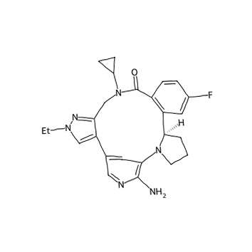 CCn1cc2c(n1)CN(C1CC1)C(=O)c1ccc(F)cc1[C@H]1CCCN1c1cc-2cnc1N